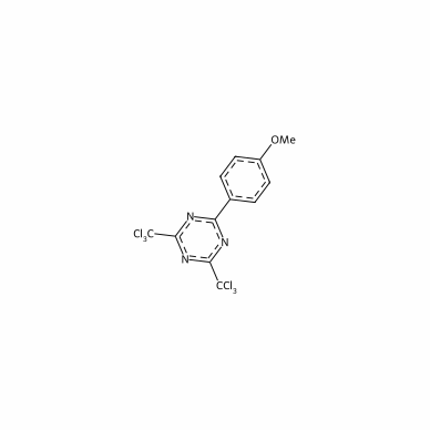 COc1ccc(-c2nc(C(Cl)(Cl)Cl)nc(C(Cl)(Cl)Cl)n2)cc1